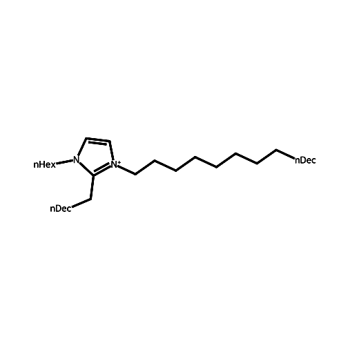 CCCCCCCCCCCCCCCCCC[n+]1ccn(CCCCCC)c1CCCCCCCCCCC